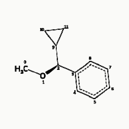 CO[C@H](c1[c]cccc1)C1CC1